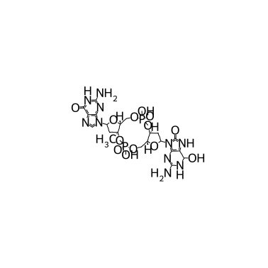 C[C@]12CC(n3cnc4c(=O)[nH]c(N)nc43)O[C@@H]1COP(=O)(O)O[C@H]1CC(n3c4c([nH]c3=O)C(O)NC(N)=N4)O[C@@H]1COP(=O)(O)O2